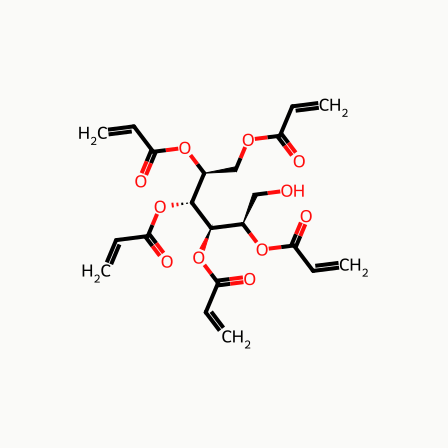 C=CC(=O)OC[C@H](OC(=O)C=C)[C@@H](OC(=O)C=C)[C@H](OC(=O)C=C)[C@@H](CO)OC(=O)C=C